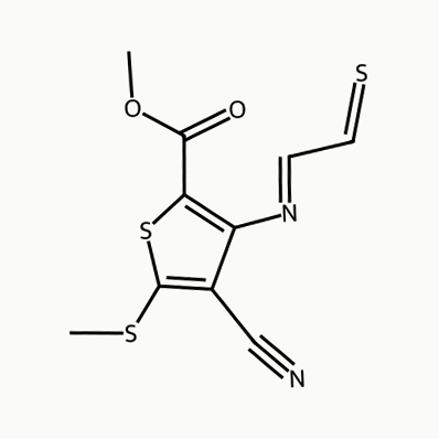 COC(=O)c1sc(SC)c(C#N)c1N=CC=S